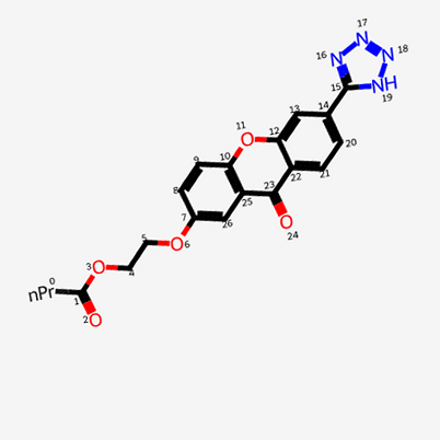 CCCC(=O)OCCOc1ccc2oc3cc(-c4nnn[nH]4)ccc3c(=O)c2c1